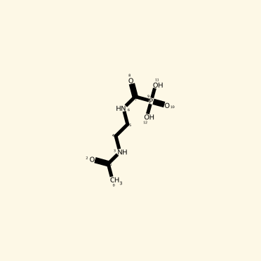 CC(=O)NCCNC(=O)P(=O)(O)O